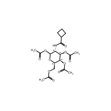 CC(=O)OC[C@H]1OC(OC(C)=O)[C@H](NC(=O)C2CCC2)[C@@H](OC(C)=O)[C@H]1OC(C)=O